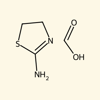 NC1=NCCS1.O=CO